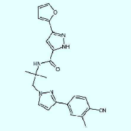 Cc1cc(-c2ccn(CC(C)(C)NC(=O)c3cc(-c4ccco4)n[nH]3)n2)ccc1C#N